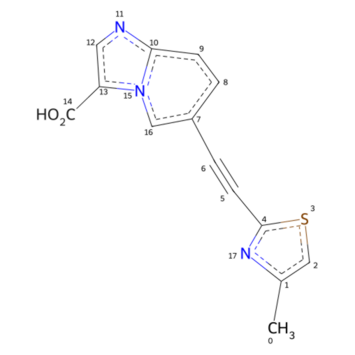 Cc1csc(C#Cc2ccc3ncc(C(=O)O)n3c2)n1